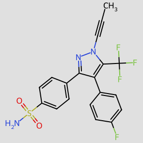 CC#Cn1nc(-c2ccc(S(N)(=O)=O)cc2)c(-c2ccc(F)cc2)c1C(F)(F)F